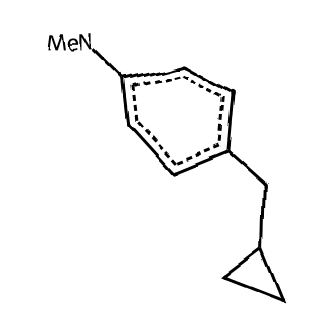 CNc1ccc(CC2CC2)cc1